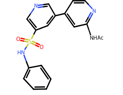 CC(=O)Nc1cc(-c2cncc(S(=O)(=O)Nc3ccccc3)c2)ccn1